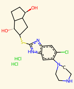 Cl.Cl.O[C@H]1C(Sc2nc3cc(Cl)c(N4CCNCC4)cc3[nH]2)CC2C1CC[C@H]2O